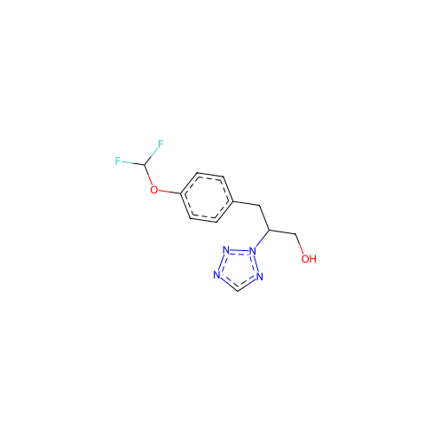 OCC(Cc1ccc(OC(F)F)cc1)n1ncnn1